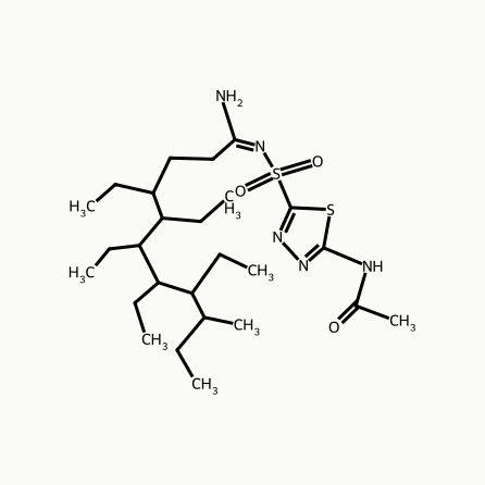 CCC(C)C(CC)C(CC)C(CC)C(CC)C(CC)CC/C(N)=N\S(=O)(=O)c1nnc(NC(C)=O)s1